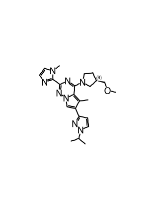 COC[C@@H]1CCN(c2nc(-c3nccn3C)nn3cc(-c4ccn(C(C)C)n4)c(C)c23)C1